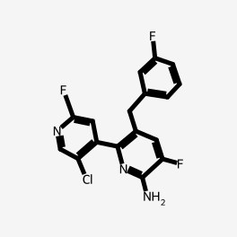 Nc1nc(-c2cc(F)ncc2Cl)c(Cc2cccc(F)c2)cc1F